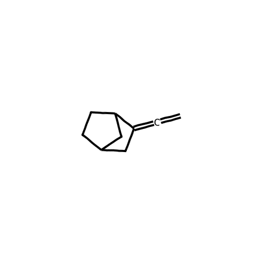 C=C=C1CC2CCC1C2